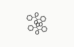 O=C(C(=O)c1ccccc1Oc1ccccc1C(=O)C(=O)c1ccccc1)c1ccccc1